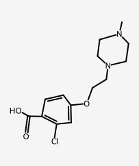 CN1CCN(CCOc2ccc(C(=O)O)c(Cl)c2)CC1